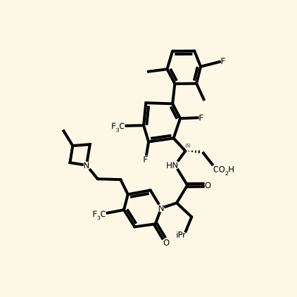 Cc1ccc(F)c(C)c1-c1cc(C(F)(F)F)c(F)c([C@H](CC(=O)O)NC(=O)C(CC(C)C)n2cc(CCN3CC(C)C3)c(C(F)(F)F)cc2=O)c1F